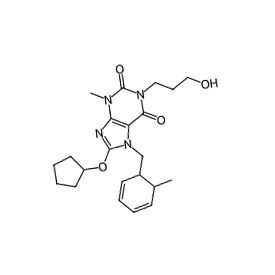 CC1C=CC=CC1Cn1c(OC2CCCC2)nc2c1c(=O)n(CCCO)c(=O)n2C